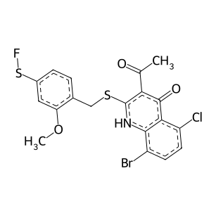 COc1cc(SF)ccc1CSc1[nH]c2c(Br)ccc(Cl)c2c(=O)c1C(C)=O